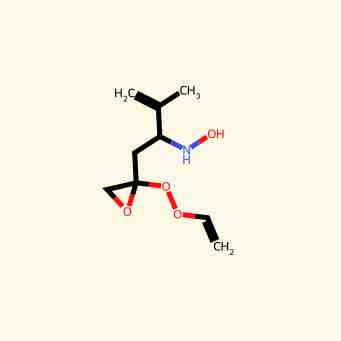 C=COOC1(CC(NO)C(=C)C)CO1